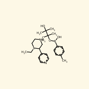 CCN1CCNCC1c1ccncc1.Cc1ccc(B(O)OC(C)(C)C(C)(C)O)cc1